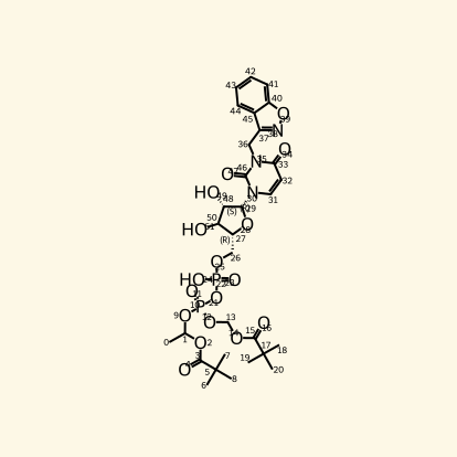 CC(OC(=O)C(C)(C)C)OP(=O)(OCOC(=O)C(C)(C)C)OP(=O)(O)OC[C@H]1O[C@@H](n2ccc(=O)n(Cc3noc4ccccc34)c2=O)[C@@H](O)C1O